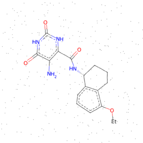 CCOc1cccc2c1CCC[C@H]2NC(=O)c1[nH]c(=O)[nH]c(=O)c1N